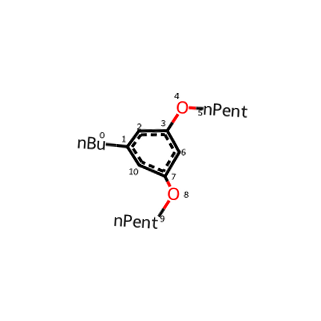 [CH2]CCCc1cc(OCCCCC)cc(OCCCCC)c1